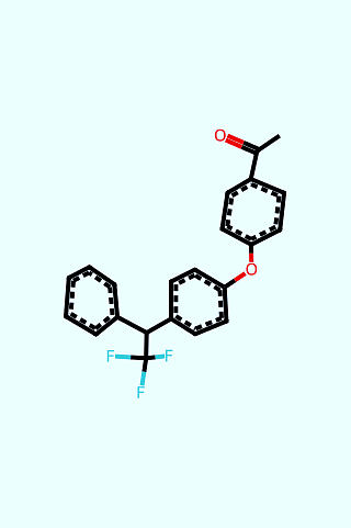 CC(=O)c1ccc(Oc2ccc(C(c3ccccc3)C(F)(F)F)cc2)cc1